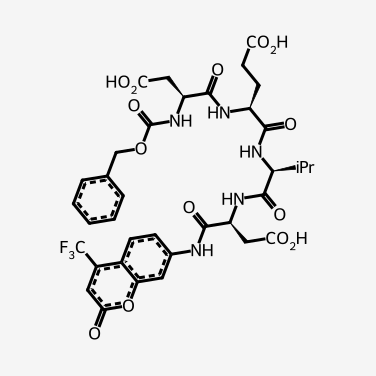 CC(C)[C@H](NC(=O)[C@H](CCC(=O)O)NC(=O)[C@H](CC(=O)O)NC(=O)OCc1ccccc1)C(=O)N[C@@H](CC(=O)O)C(=O)Nc1ccc2c(C(F)(F)F)cc(=O)oc2c1